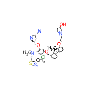 Cc1ncsc1CCN(C)Cc1cc(Cl)c(OCc2cccc(-c3cccc(OCCCN4CC[C@@H](O)C4)c3C)c2C)cc1OCc1cncc(C#N)c1